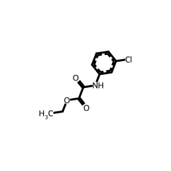 CCOC(=O)C(=O)Nc1cccc(Cl)c1